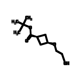 CC(C)(C)OC(=O)[C@H]1C[C@@H](OCCO)C1